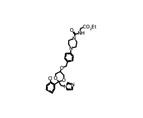 CCOC(=O)CNC(=O)N1CCN(c2ccc(COC3COC(Cn4ccnc4)(c4ccccc4Cl)OC3)cc2)CC1